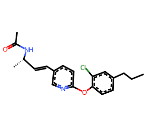 CCCc1ccc(Oc2ccc(/C=C/[C@H](C)NC(C)=O)cn2)c(Cl)c1